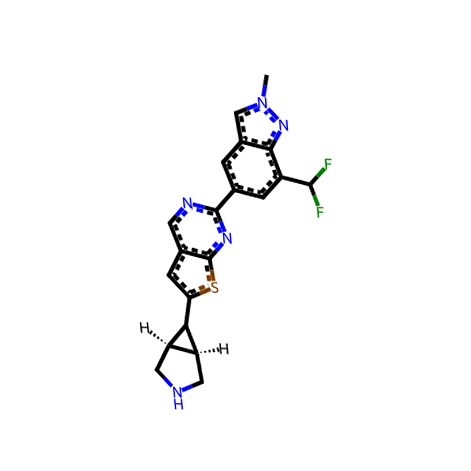 Cn1cc2cc(-c3ncc4cc(C5[C@H]6CNC[C@@H]56)sc4n3)cc(C(F)F)c2n1